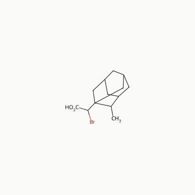 CC1C2CC3CC(C2)CC1(C(Br)C(=O)O)C3